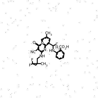 Cc1cc(C(C)Nc2ccccc2C(=O)O)c2nc(NCC3(C)CC3(F)F)c(C#N)c(=O)n2c1